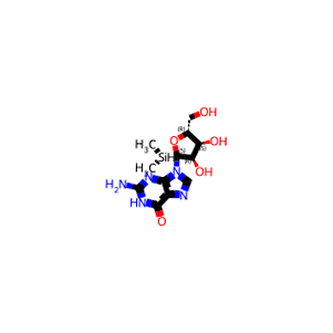 C[SiH](C)[C@@]1(n2cnc3c(=O)[nH]c(N)nc32)O[C@H](CO)[C@@H](O)[C@H]1O